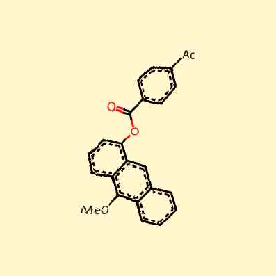 COc1c2ccccc2cc2c(OC(=O)c3ccc(C(C)=O)cc3)cccc12